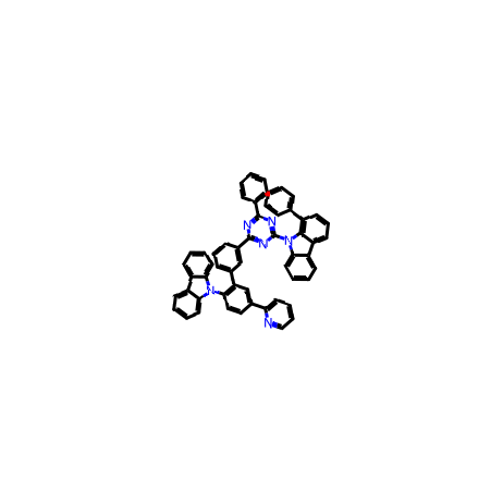 c1ccc(-c2nc(-c3cccc(-c4cc(-c5ccccn5)ccc4-n4c5ccccc5c5ccccc54)c3)nc(-n3c4ccccc4c4cccc(-c5ccccc5)c43)n2)cc1